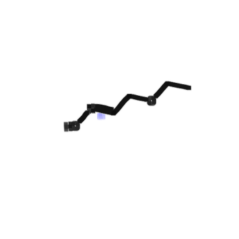 CCOC/C=N/O